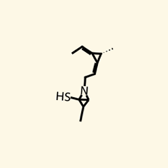 C/C=C1\C(=C/CN2C3C(C)C32S)[C@H]1C